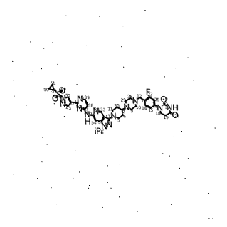 CC(C)n1nc(N2CCC(N3CCN(Cc4ccc(N5CCC(=O)NC5=O)cc4F)CC3)CC2)c2cnc(Nc3ccnc(-c4cnn(S(=O)(=O)C5CC5)c4)n3)cc21